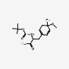 COC1(O)C=CC(CC(NC(=O)OC(C)(C)C)C(=O)O)=CC1